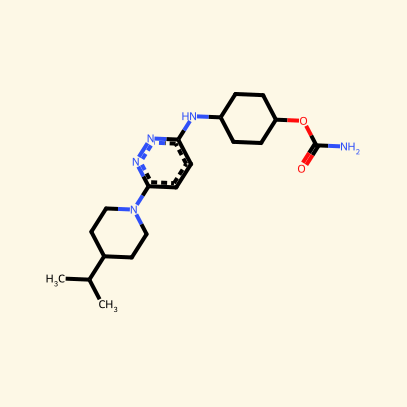 CC(C)C1CCN(c2ccc(NC3CCC(OC(N)=O)CC3)nn2)CC1